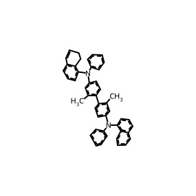 Cc1cc(N(c2ccccc2)c2cccc3c2CCC=C3)ccc1-c1ccc(N(c2ccccc2)c2cccc3ccccc23)cc1C